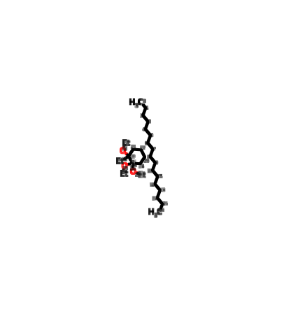 CCCCCCCCCCCCCCCCC.CCOC1(CC)CCCC[Si]1(OCC)OCC